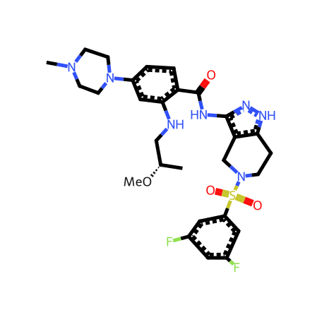 CO[C@@H](C)CNc1cc(N2CCN(C)CC2)ccc1C(=O)Nc1n[nH]c2c1CN(S(=O)(=O)c1cc(F)cc(F)c1)CC2